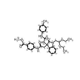 CCOC(CN1C(=O)C(CC(=O)Nc2ccc(C(=O)OC)cc2)(NC(=O)Nc2ccc(C)cc2)c2ccccc21)OCC